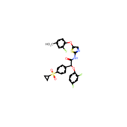 O=C(O)c1ccc(Oc2cnc(NC(=O)C(Oc3ccc(F)cc3F)c3ccc(S(=O)(=O)C4CC4)cc3)s2)c(F)c1